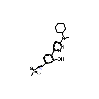 CN(c1ccc(-c2ccc(/C=C/S(C)(=O)=O)cc2O)nn1)C1CCCCC1